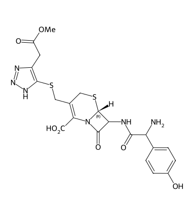 COC(=O)Cc1nn[nH]c1SCC1=C(C(=O)O)N2C(=O)C(NC(=O)C(N)c3ccc(O)cc3)[C@H]2SC1